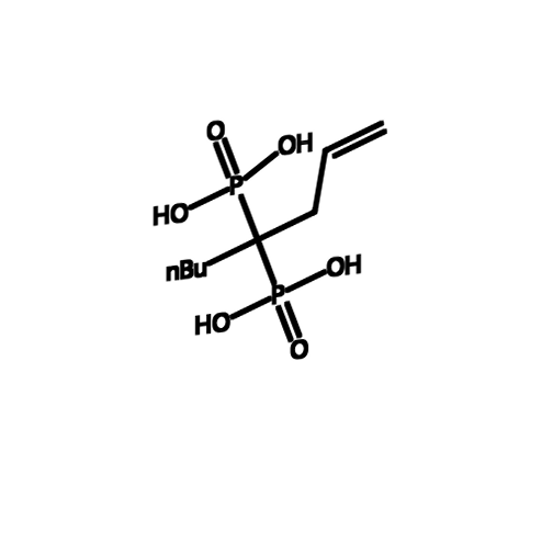 C=CCC(CCCC)(P(=O)(O)O)P(=O)(O)O